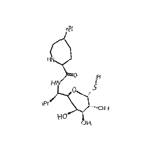 CCCC1CCN[C@H](C(=O)N[C@H](C(C)C)[C@H]2O[C@H](SC(C)C)[C@H](O)[C@@H](O)[C@H]2O)CC1